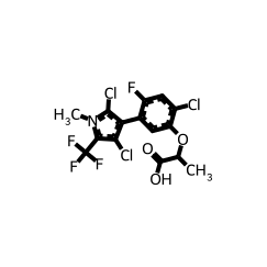 CC(Oc1cc(-c2c(Cl)c(C(F)(F)F)n(C)c2Cl)c(F)cc1Cl)C(=O)O